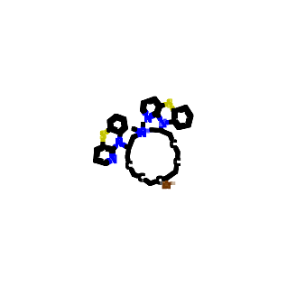 C[N+]1(C)CC(N2c3ccccc3Sc3cccnc32)CCCCCCCCCCCCC(N2c3ccccc3Sc3cccnc32)C1.[Br-]